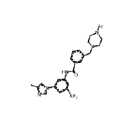 CC(=O)N1CCN(Cc2cccc(C(=O)Nc3cc(-n4cnc(C)c4)cc(C(F)(F)F)c3)c2)CC1